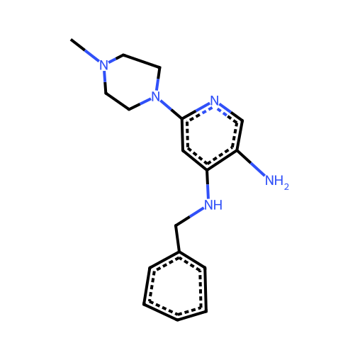 CN1CCN(c2cc(NCc3ccccc3)c(N)cn2)CC1